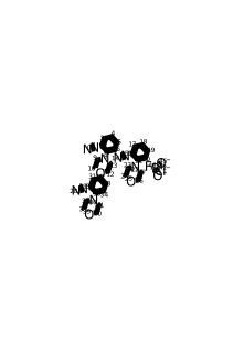 N#[N+]c1ccccc1N1CCOCC1.N#[N+]c1ccccc1N1CCOCC1.N#[N+]c1ccccc1N1CCOCC1.[Cl-].[O-]B([O-])F